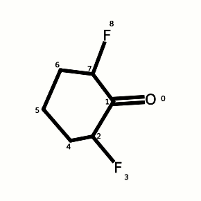 O=C1C(F)CCCC1F